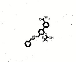 NC(=O)c1cccc(-c2ccc(CNCCc3ccccc3)cc2)c1.O=C(O)C(F)(F)F